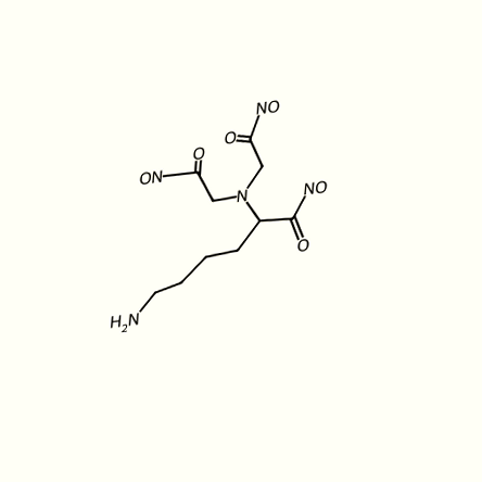 NCCCCC(C(=O)N=O)N(CC(=O)N=O)CC(=O)N=O